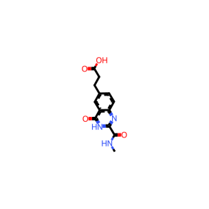 CNC(=O)c1nc2ccc(CCC(=O)O)cc2c(=O)[nH]1